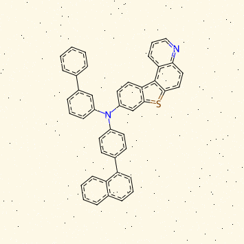 c1ccc(-c2cccc(N(c3ccc(-c4cccc5ccccc45)cc3)c3ccc4c(c3)sc3ccc5ncccc5c34)c2)cc1